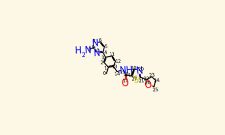 Cc1cc(-c2ccnc(N)n2)ccc1CNC(=O)c1cnc(C2CCCO2)s1